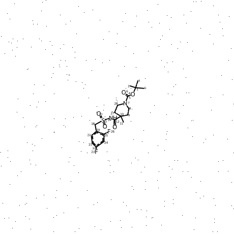 CC(C)(C)OC(=O)N1CCC(C)(C(=O)NS(=O)(=O)Cc2ccc(F)cc2F)CC1